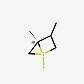 CC1CS2(F)C[C@@]12C